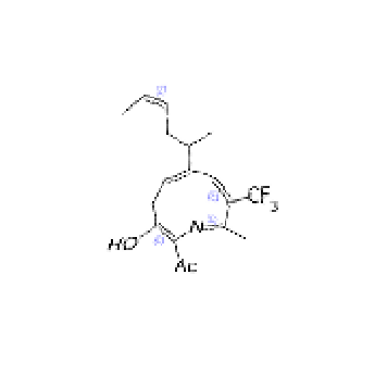 C/C=C\CC(C)C1=CC\C(O)=C(C(C)=O)/N=C(C)/C(C(F)(F)F)=C\1